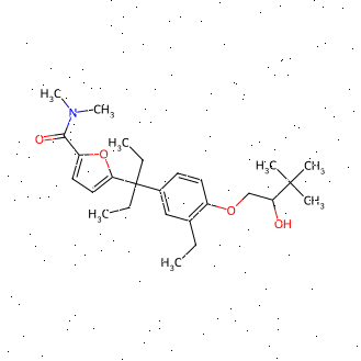 CCc1cc(C(CC)(CC)c2ccc(C(=O)N(C)C)o2)ccc1OCC(O)C(C)(C)C